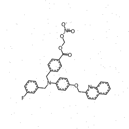 O=C(OCO[N+](=O)[O-])c1ccc(CN(Cc2cccc(F)c2)c2ccc(OCc3ccc4ccccc4n3)cc2)cc1